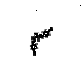 N#Cc1ccc(C=NNC(=N)NN=Cc2ccc(C#N)cc2)cc1